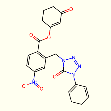 O=C1C=C(OC(=O)c2ccc([N+](=O)[O-])cc2Cn2nnn(C3=CCCC=C3)c2=O)CCC1